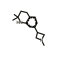 CN1CC(c2ccc3c(c2)NC(C)(C)CC3)C1